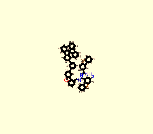 N/C(=N\C(=N/Cc1cccc2oc3ccc(-c4cccc(-c5ccc6c(c5)C5(c7ccccc7-c7ccccc75)c5ccccc5-6)c4)cc3c12)c1cccc2sc3ccccc3c12)c1ccc2sc3ccccc3c2c1